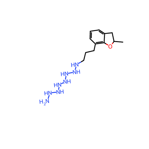 CC1Cc2cccc(CCCNNNNNNNN)c2O1